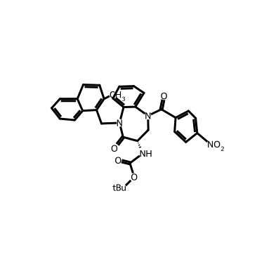 Cc1ccc2ccccc2c1CN1C(=O)[C@@H](NC(=O)OC(C)(C)C)CN(C(=O)c2ccc([N+](=O)[O-])cc2)c2ccccc21